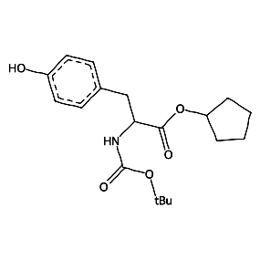 CC(C)(C)OC(=O)NC(Cc1ccc(O)cc1)C(=O)OC1CCCC1